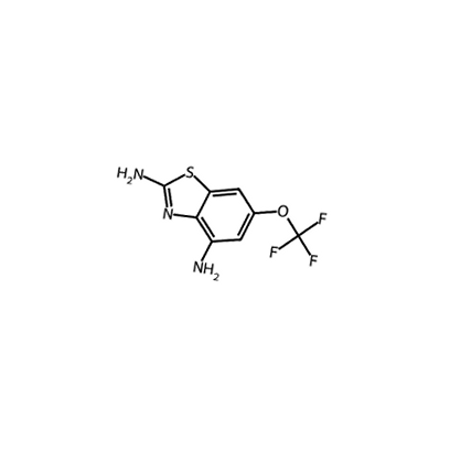 Nc1nc2c(N)cc(OC(F)(F)F)cc2s1